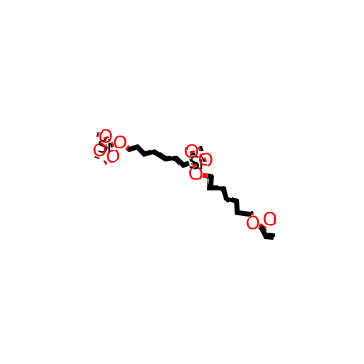 C=CC(=O)OCCCCCCCO[Si](CCCCCCCO[Si](OC)(OC)OC)(OC)OC